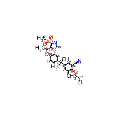 Cc1cc(C(C)(C)c2ccc(OC(C)c3ocnc3S(C)(=O)=O)cc2)cc(C#N)c1OCCCl